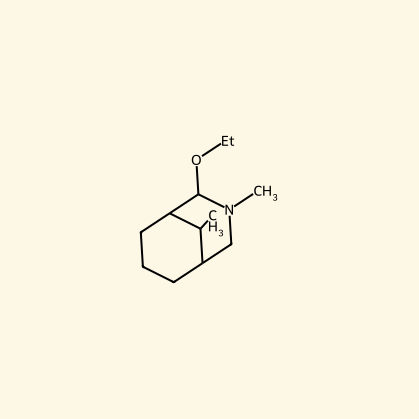 CCOC1C2CCCC(CN1C)C2C